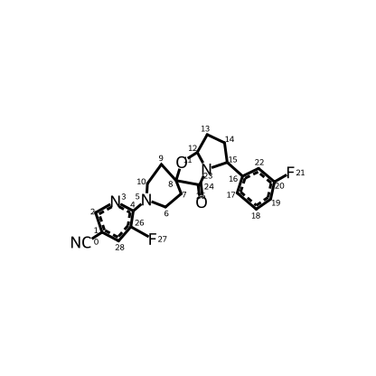 N#Cc1cnc(N2CCC3(CC2)OC2CCC(c4cccc(F)c4)N2C3=O)c(F)c1